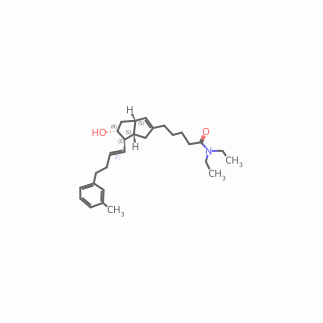 CCN(CC)C(=O)CCCCC1=C[C@H]2C[C@@H](O)[C@H](/C=C/CCc3cccc(C)c3)[C@H]2C1